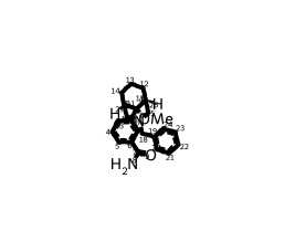 COC1(c2cccc(C(N)=O)c2)[C@@H]2CCC[C@H]1CN(Cc1ccccc1)C2